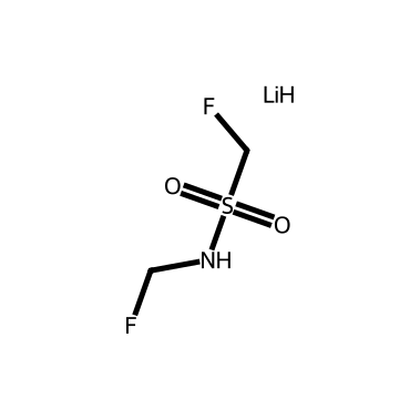 O=S(=O)(CF)NCF.[LiH]